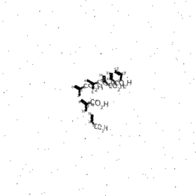 C=C(C)C(=O)O.C=C(C)C(=O)O.C=C(C)C(=O)O.C=CC.C=CC(=O)O.C=CC(=O)O.C=CC(=O)O